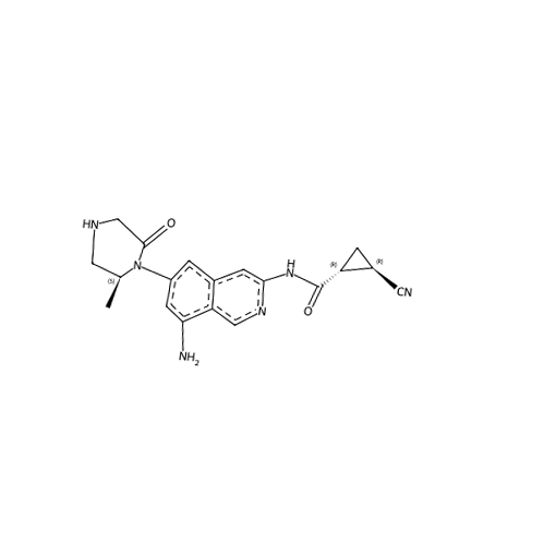 C[C@H]1CNCC(=O)N1c1cc(N)c2cnc(NC(=O)[C@@H]3C[C@H]3C#N)cc2c1